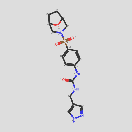 O=C(NCc1cn[nH]c1)Nc1ccc(S(=O)(=O)N2CC3CCC(C2)O3)cc1